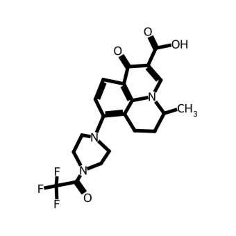 CC1CCc2c(N3CCN(C(=O)C(F)(F)F)CC3)ccc3c(=O)c(C(=O)O)cn1c23